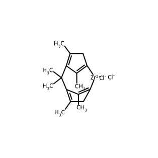 CC1=C2C(C)=[C](C1)[Zr+2][C]1=C(C)C(=C(C)C1)C2(C)C.[Cl-].[Cl-]